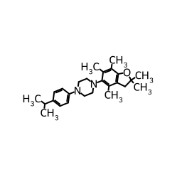 Cc1c(C)c(N2CCN(c3ccc(C(C)C)cc3)CC2)c(C)c2c1OC(C)(C)C2